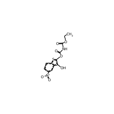 CCOC(=O)NC(=O)Oc1sc2ccc([N+](=O)[O-])cc2c1O